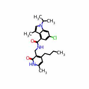 CCCCc1cc(C)[nH]c(=O)c1CNC(=O)c1cc(Cl)cc2c1c(C)cn2C(C)C